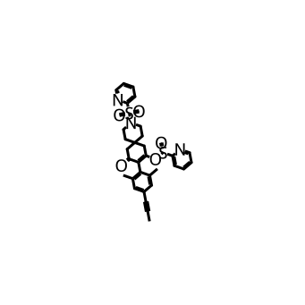 CC#Cc1cc(C)c(C2=C(OS(=O)c3ccccn3)CC3(CCN(S(=O)(=O)c4ccccn4)CC3)CC2=O)c(C)c1